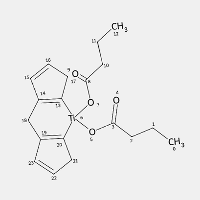 CCCC(=O)[O][Ti]1([O]C(=O)CCC)[C]2=C(C=CC2)CC2=[C]1CC=C2